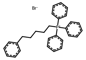 [Br-].c1ccc(CCCCC[P+](c2ccccc2)(c2ccccc2)c2ccccc2)cc1